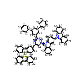 c1ccc(-c2cc(-c3ccccc3)cc(-c3nc(-c4ccc(S(c5ccccc5)(c5ccccc5)c5ccccc5)cc4)cc(-n4c5ccccc5c5cc(-n6c7ccccc7c7ccccc76)ccc54)n3)c2)cc1